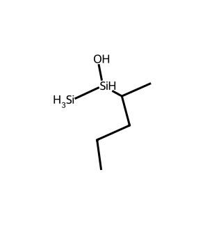 CCCC(C)[SiH](O)[SiH3]